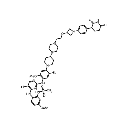 CCc1cc(Nc2ncc(Cl)c(Nc3ccc(OC)cc3NS(C)(=O)=O)n2)c(OC)cc1N1CCC(N2CCN(CCOC3CN(c4ccc(C5CCC(=O)NC5=O)cc4)C3)CC2)CC1